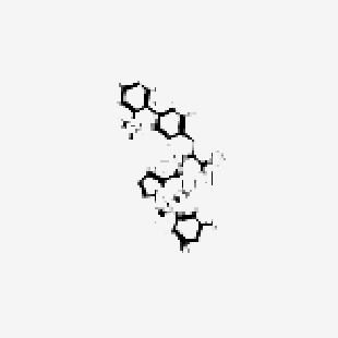 CS(=O)(=O)c1ccccc1-c1ccc(C[C@H](NC(=O)c2cccn2S(=O)(=O)c2cc(Cl)cc(Cl)c2)C(=O)O)cc1